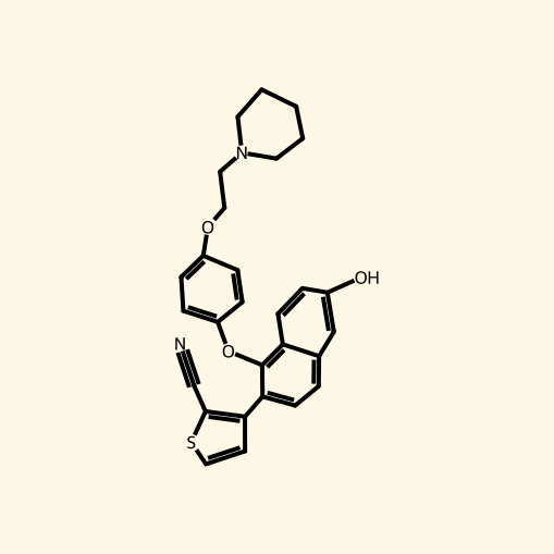 N#Cc1sccc1-c1ccc2cc(O)ccc2c1Oc1ccc(OCCN2CCCCC2)cc1